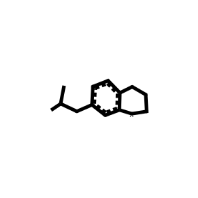 CC(C)Cc1ccc2c(c1)[C]CCC2